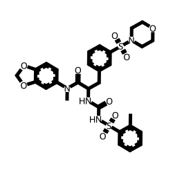 Cc1ccccc1S(=O)(=O)NC(=O)NC(Cc1cccc(S(=O)(=O)N2CCOCC2)c1)C(=O)N(C)c1ccc2c(c1)OCO2